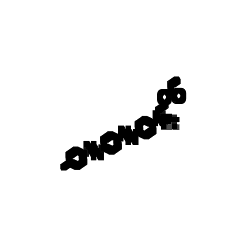 C=CC(=O)OCCN(CC)c1ccc(N=Nc2ccc(N=Nc3ccc(C)cc3)cc2)cc1